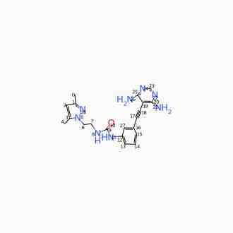 Cc1cc(C)n(CCNC(=O)Nc2cccc(C#Cc3c(N)ncnc3N)c2)n1